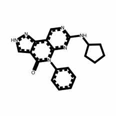 O=c1c2c[nH]nc2c2cnc(NC3CCCC3)nc2n1-c1ccccc1